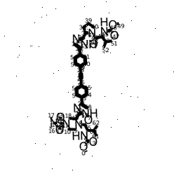 COC(=O)NC(C(=O)N1CCN(S(=O)(=O)N(C)C)CC1c1nc(-c2ccc(C#Cc3ccc(-c4cnc(C5CCCN5C(=O)C(NC(=O)OC)C(C)C)[nH]4)cc3)cc2)c[nH]1)C(C)C